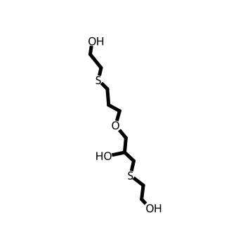 OCCSCCCOCC(O)CSCCO